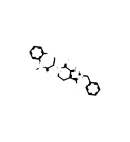 CN1C(=O)[C@@H](N2CCc3c(nn(Cc4ccccc4)c3O)C2=O)COc2ccccc21